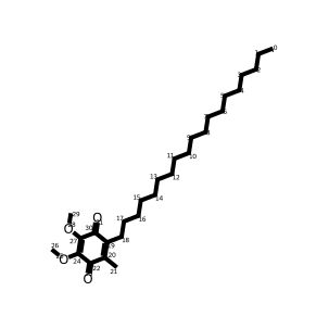 [CH2]CCCCCCCCCCCCCCCCCCC1=C(C)C(=O)C(OC)=C(OC)C1=O